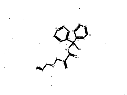 C=CCOCC(=C)C(=O)OC(C)(c1ccccc1)c1ccccc1